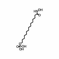 O=C(CCCCCCCCCCCCCCOP(=O)(O)O)NO